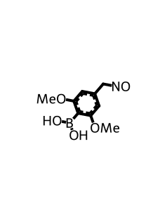 COc1cc(CN=O)cc(OC)c1B(O)O